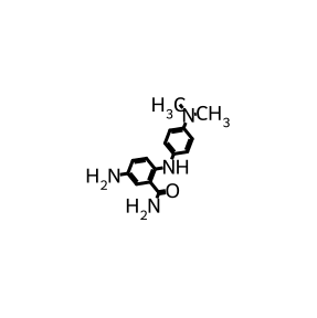 CN(C)c1ccc(Nc2ccc(N)cc2C(N)=O)cc1